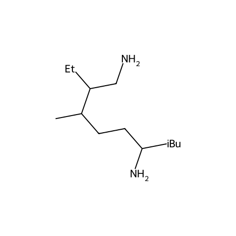 CCC(C)C(N)CCC(C)C(CC)CN